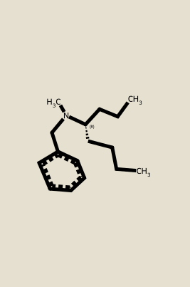 CCCC[C@@H](CCC)N(C)Cc1ccccc1